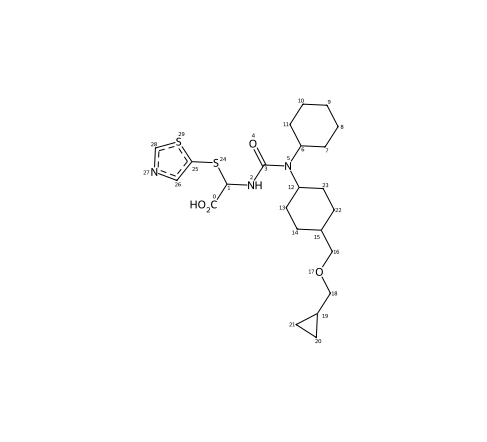 O=C(O)C(NC(=O)N(C1CCCCC1)C1CCC(COCC2CC2)CC1)Sc1cncs1